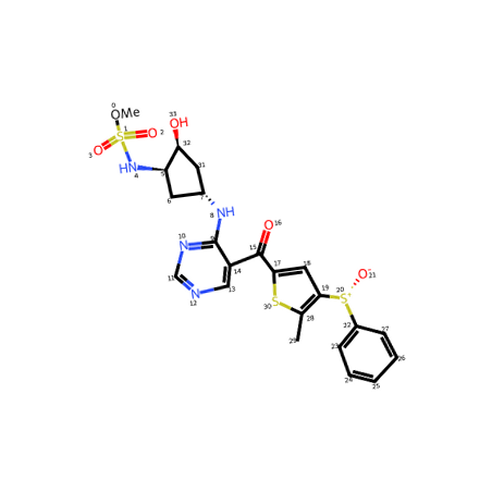 COS(=O)(=O)N[C@@H]1C[C@@H](Nc2ncncc2C(=O)c2cc([S@+]([O-])c3ccccc3)c(C)s2)C[C@@H]1O